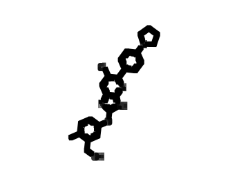 Cc1ccc(Oc2nc3cc(Cl)c(-c4ccc(N5CCCC5)cc4)nc3[nH]2)cc1CO